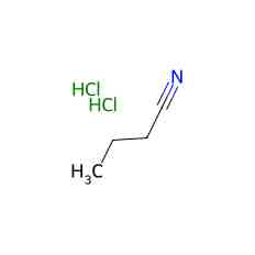 CCCC#N.Cl.Cl